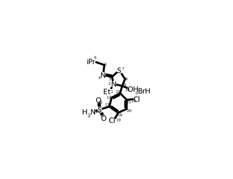 Br.CCN1C(=NCC(C)C)SCC1(O)c1cc(S(N)(=O)=O)c(Cl)cc1Cl